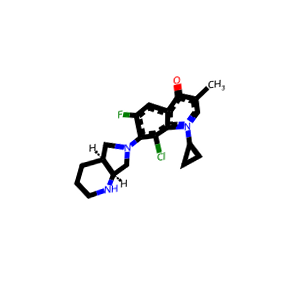 Cc1cn(C2CC2)c2c(Cl)c(N3C[C@@H]4CCCN[C@@H]4C3)c(F)cc2c1=O